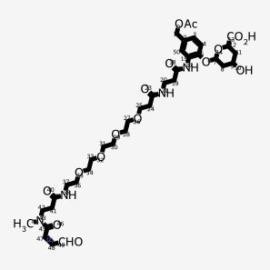 CC(=O)OCc1ccc(OC2CC(O)CC(C(=O)O)O2)c(NC(=O)CCNC(=O)CCOCCOCCOCCOCCNC(=O)CCN(C)C(=O)/C=C\C=O)c1